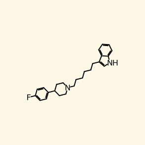 Fc1ccc(C2CCN(CCCCCCc3c[nH]c4ccccc34)CC2)cc1